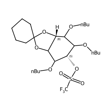 CCCCOC1C(OCCCC)[C@H](OS(=O)(=O)C(F)(F)F)C(OCCCC)C2OC3(CCCCC3)O[C@H]12